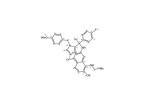 [2H]C(Nc1cc(Cl)c2ncc(C#N)c(NCC(C)(C)C)c2c1)(c1ccc(F)cc1)c1nnnn1Cc1ccc(OC)cc1